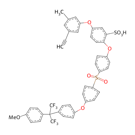 C#Cc1cc(C)cc(Oc2ccc(Oc3ccc(S(=O)(=O)c4ccc(Oc5ccc(C(c6ccc(OC)cc6)(C(F)(F)F)C(F)(F)F)cc5)cc4)cc3)c(S(=O)(=O)O)c2)c1